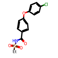 CCS(=O)(=O)NC(=O)c1ccc(Oc2ccc(Cl)cc2)cc1